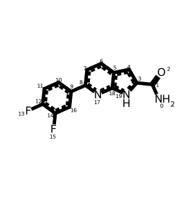 NC(=O)c1cc2ccc(-c3ccc(F)c(F)c3)nc2[nH]1